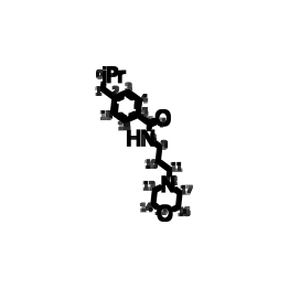 CC(C)Cc1ccc(C(=O)NCCCN2CCOCC2)cc1